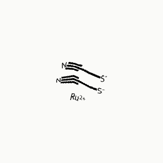 N#C[S-].N#C[S-].[Ru+2]